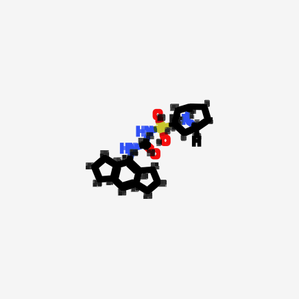 CCN1C2CC[C@@H]1C[C@@H](S(=O)(=O)NC(=O)Nc1c3c(cc4c1CCC4)CCC3)C2